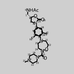 CC(=O)NC[C@H]1CN(c2cc(F)c(N3CCON(C(=O)N4CCN(C)CC4)CC3)c(F)c2)C(=O)O1